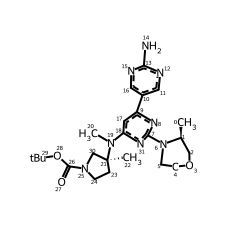 C[C@H]1COCCN1c1nc(-c2cnc(N)nc2)cc(N(C)[C@@]2(C)CCN(C(=O)OC(C)(C)C)C2)n1